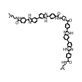 CN(C)CCNC(=O)c1ccc(-c2nc3ccc(-c4ccc5nc(-c6ccc(C(=O)N[C@@H]7CCN(C(=O)c8ccc(-c9nc%10ccc(-c%11ccc%12nc(-c%13ccc(C(=O)NCCN(C)C)cc%13)[nH]c%12c%11)cc%10[nH]9)cc8)C7)cc6)[nH]c5c4)cc3[nH]2)cc1